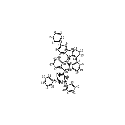 c1ccc(-c2ccc3c(c2)c2cccc(-c4ccccc4)c2n3-c2ccc(-c3nc(-c4ccccc4)nc(-c4ccccc4)n3)c3ccccc23)cc1